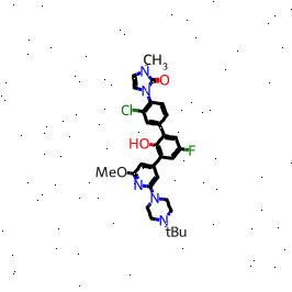 COc1cc(-c2cc(F)cc(-c3ccc(-n4ccn(C)c4=O)c(Cl)c3)c2O)cc(N2CCN(C(C)(C)C)CC2)n1